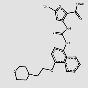 COC(=O)c1oc(C(C)(C)C)cc1NC(=O)Nc1ccc(OCCN2CCOCC2)c2ccccc12